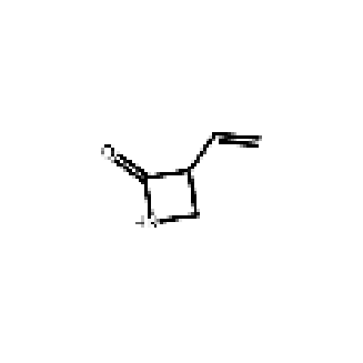 C=CC1CNC1=O